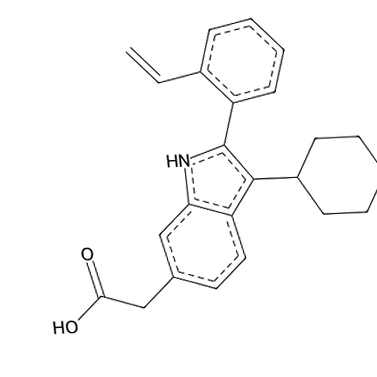 C=Cc1ccccc1-c1[nH]c2cc(CC(=O)O)ccc2c1C1CCCCC1